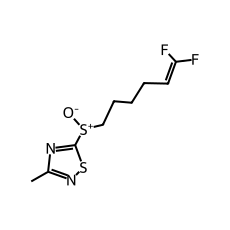 Cc1nsc([S+]([O-])CCCCC=C(F)F)n1